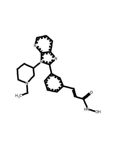 CCN1CCCC(n2c(-c3cccc(C=CC(=O)NO)c3)nc3cccnc32)C1